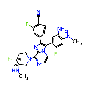 CNc1cc(F)c(-c2c(-c3ccc(C#N)c(F)c3)nc3c(N4CC[C@@H](F)[C@@H](NC)C4)nccn23)cc1N